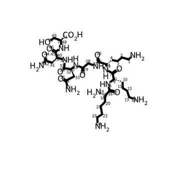 NCCCC[C@H](NC(=O)[C@H](CCCCN)NC(=O)[C@@H](N)CCCCN)C(=O)NCC(=O)N[C@@H](CC(N)=O)C(=O)N[C@@H](CC(N)=O)C(=O)N[C@@H](CO)C(=O)O